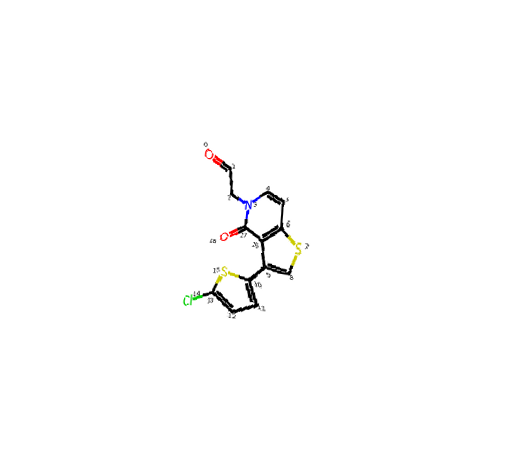 O=CCn1ccc2scc(-c3ccc(Cl)s3)c2c1=O